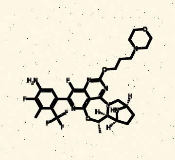 Cc1c(F)c(N)cc(-c2nc3c4c(nc(OCCCN5CCOCC5)nc4c2F)N2C[C@H]4CC[C@H](N4)[C@H]2[C@H](C)O3)c1C(F)(F)F